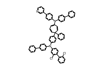 Clc1ccccc1-c1ccc(N(c2ccc(-c3ccccc3)cc2)c2ccc(C3(c4ccccc4)C=CC=C(N(c4ccc(-c5ccccc5)cc4)c4ccc(-c5cccnc5)cc4)C=C3)cc2)cc1Cl